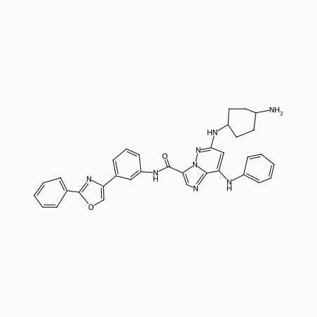 NC1CCC(Nc2cc(Nc3ccccc3)c3ncc(C(=O)Nc4cccc(-c5coc(-c6ccccc6)n5)c4)n3n2)CC1